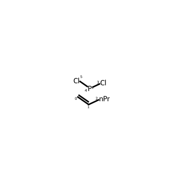 C=CCCC.Cl[P]Cl